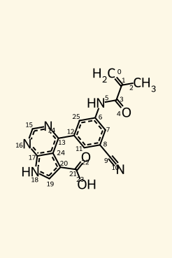 C=C(C)C(=O)Nc1cc(C#N)cc(-c2ncnc3[nH]cc(C(=O)O)c23)c1